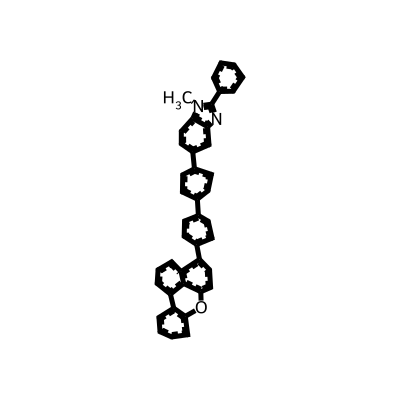 Cn1c(-c2ccccc2)nc2cc(-c3ccc(-c4ccc(-c5ccc6c7c(cccc57)-c5ccccc5O6)cc4)cc3)ccc21